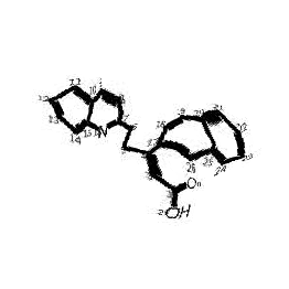 O=C(O)C=C(CCc1ccc2ccccc2n1)c1ccc2ccccc2c1